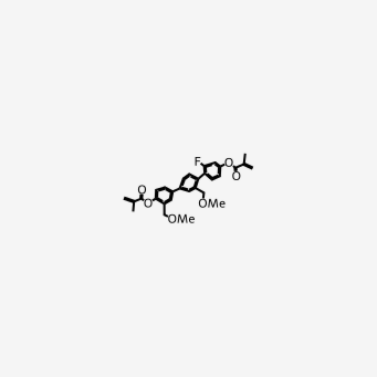 C=C(C)C(=O)Oc1ccc(-c2ccc(-c3ccc(OC(=O)C(=C)C)c(COC)c3)cc2COC)c(F)c1